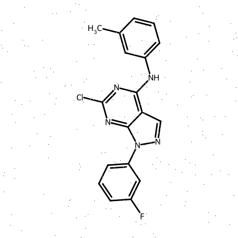 Cc1cccc(Nc2nc(Cl)nc3c2cnn3-c2cccc(F)c2)c1